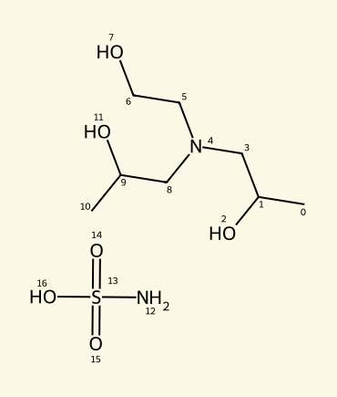 CC(O)CN(CCO)CC(C)O.NS(=O)(=O)O